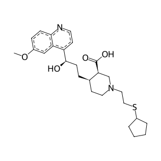 COc1ccc2nccc([C@H](O)CC[C@@H]3CCN(CCSC4CCCC4)C[C@@H]3C(=O)O)c2c1